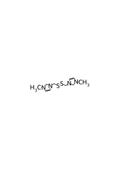 CN1C=CN(CSSCN2C=CN(C)C2)C1